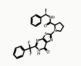 C[C@@H](NC(=O)C1CCCN1c1nc2c(=O)[nH]c(C(F)(F)c3ccccc3)nc2s1)c1ccccc1